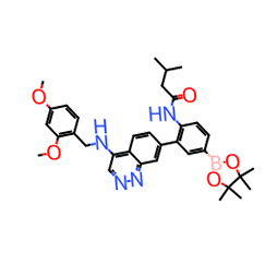 COc1ccc(CNc2cnnc3cc(-c4cc(B5OC(C)(C)C(C)(C)O5)ccc4NC(=O)CC(C)C)ccc23)c(OC)c1